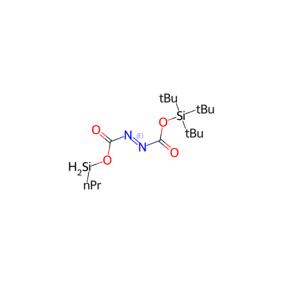 CCC[SiH2]OC(=O)/N=N/C(=O)O[Si](C(C)(C)C)(C(C)(C)C)C(C)(C)C